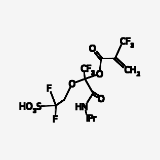 C=C(C(=O)OC(OCC(F)(F)S(=O)(=O)O)(C(=O)NC(C)C)C(F)(F)F)C(F)(F)F